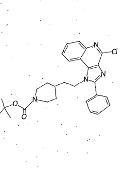 CC(C)(C)OC(=O)N1CCC(CCn2c(-c3ccccc3)nc3c(Cl)nc4ccccc4c32)CC1